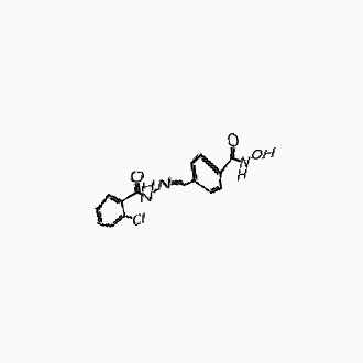 O=C(NO)c1ccc(C=NNC(=O)c2ccccc2Cl)cc1